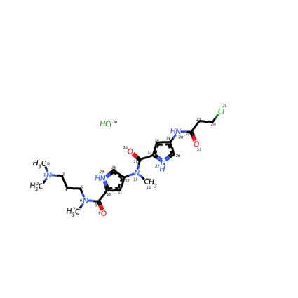 CN(C)CCCN(C)C(=O)c1cc(N(C)C(=O)c2cc(NC(=O)CCCl)c[nH]2)c[nH]1.Cl